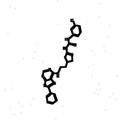 O=C(NC1=NCC(CCNc2ncnc3oc(-c4ccccc4)nc23)S1)Nc1cccc(Cl)c1